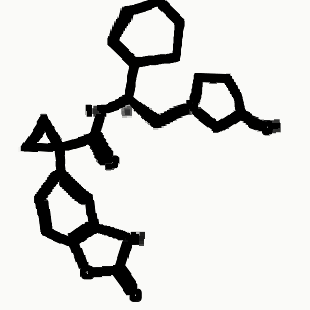 O=C(N[C@H](CN1CCC(O)C1)C1CCCCC1)C1(c2ccc3oc(=O)[nH]c3c2)CC1